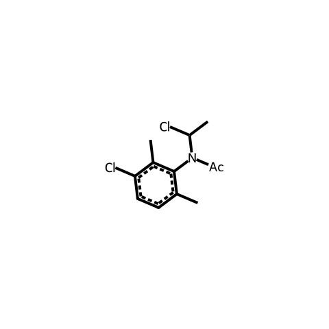 CC(=O)N(c1c(C)ccc(Cl)c1C)C(C)Cl